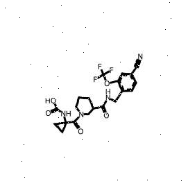 N#Cc1ccc(CNC(=O)C2CCCN(C(=O)C3(NC(=O)O)CC3)C2)c(OC(F)(F)F)c1